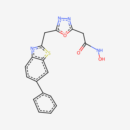 O=C(Cc1nnc(Cc2nc3ccc(-c4ccccc4)cc3s2)o1)NO